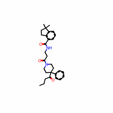 CCCC(=O)C1(c2ccccc2)CCN(C(=O)CCNC(=O)c2cccc3c2CCC3(C)C)CC1